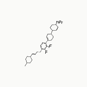 CCCC1CCC(C2CC=C(c3ccc(CC/C=C/C4CCC(C)CC4)c(F)c3F)CC2)CC1